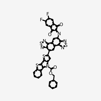 O=C(OCc1ccccc1)n1c2cc(-c3cc4c(cc(N=c5c(=O)c6cc(F)c(F)cc6c5=O)c5nsnc54)c4nsnc34)sc2c2sc3ccccc3c21